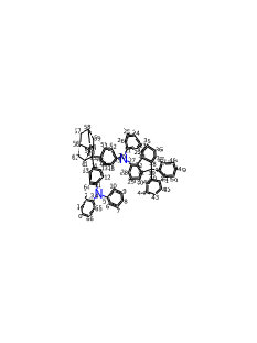 c1ccc(N(c2ccccc2)c2ccc(C3(c4ccc(N(c5ccccc5)c5cccc6c5-c5ccccc5C6(c5ccccc5)c5ccccc5)cc4)C4CC5CC(C4)CC3C5)cc2)cc1